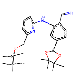 CC1(C)OB(c2ccc(C=N)c(Nc3cccc(CO[Si](C)(C)C(C)(C)C)n3)c2)OC1(C)C